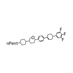 CCCCCC1CCC(C2CCC(c3ccc(C4=CCC(c5cc(F)c(F)c(F)c5)CC4)cc3)OC2)CC1